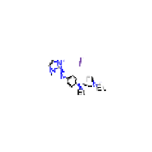 CCN(CC[N+](C)(CC)CC)c1ccc(N=Nc2n(C)cc[n+]2C)cc1.[I-].[I-]